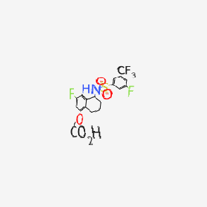 O=C(O)COc1cc(F)cc2c1CCCC2NS(=O)(=O)c1cc(F)cc(C(F)(F)F)c1